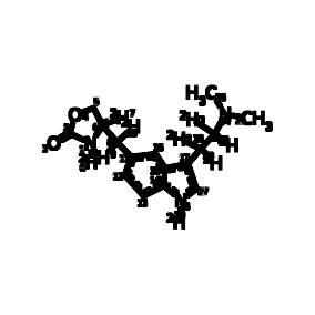 [2H]N1C(=O)OC[C@]1([2H])C([2H])([2H])c1ccc2c(c1)c(C([2H])([2H])C([2H])([2H])N(C)C)cn2[2H]